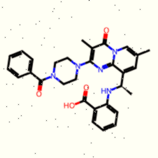 Cc1cc([C@@H](C)Nc2ccccc2C(=O)O)c2nc(N3CCN(C(=O)c4ccccc4)CC3)c(C)c(=O)n2c1